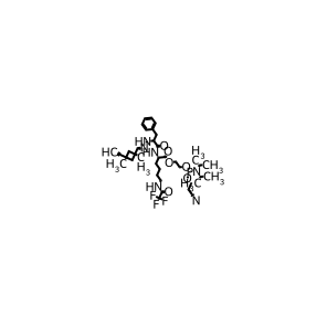 C#CC1(C)CC(C)(/C=N/NC(Cc2ccccc2)C(=O)NC(CCCCNC(=O)C(F)(F)F)C(=O)OCCOP(OCCC#N)N(C(C)C)C(C)C)C1